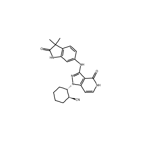 CC1(C)C(=O)Nc2cc(Nc3nn([C@H]4CCCC[C@@H]4C#N)c4cc[nH]c(=O)c34)ccc21